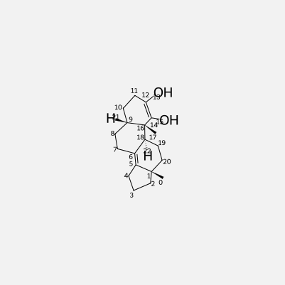 C[C@@]12CCCC1=C1CC[C@@H]3CCC(O)=C(O)[C@]3(C)[C@H]1CC2